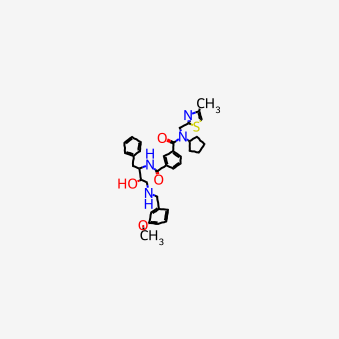 COc1cccc(CNCC(O)C(Cc2ccccc2)NC(=O)c2cccc(C(=O)N(Cc3nc(C)cs3)C3CCCC3)c2)c1